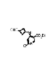 CCOC(=O)c1cnc(Cl)cc1NC1CC(C=O)C1